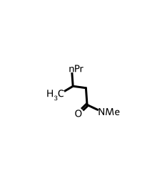 CCCC(C)CC(=O)NC